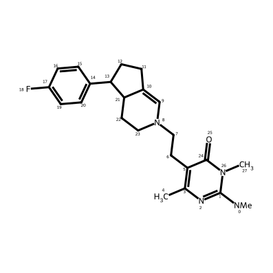 CNc1nc(C)c(CCN2C=C3CCC(c4ccc(F)cc4)C3CC2)c(=O)n1C